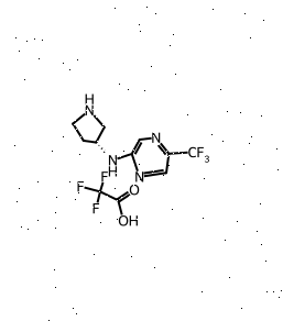 FC(F)(F)c1cnc(N[C@@H]2CCNC2)cn1.O=C(O)C(F)(F)F